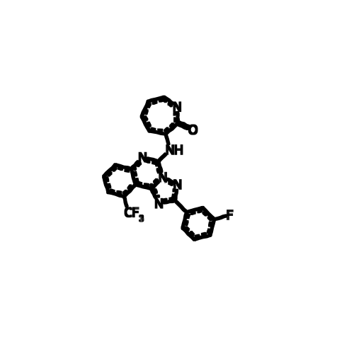 O=c1nccccc1Nc1nc2cccc(C(F)(F)F)c2c2nc(-c3cccc(F)c3)nn12